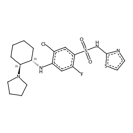 O=S(=O)(Nc1nccs1)c1cc(Cl)c(N[C@H]2CCCC[C@@H]2N2CCCC2)cc1F